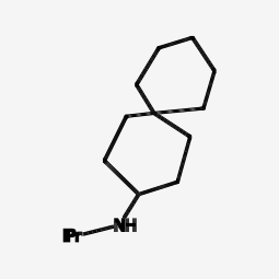 CC(C)NC1CCC2(CCCCC2)CC1